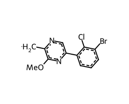 [CH2]c1ncc(-c2cccc(Br)c2Cl)nc1OC